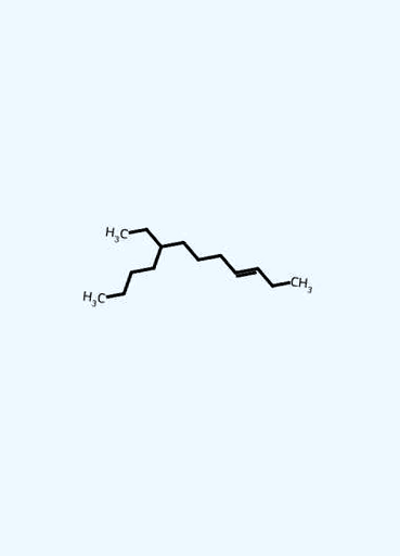 CCC=CCCCC(CC)CCCC